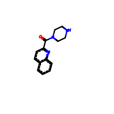 O=C(c1ccc2ccccc2n1)N1CCNCC1